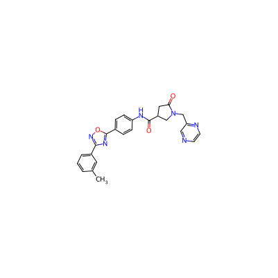 Cc1cccc(-c2noc(-c3ccc(NC(=O)C4CC(=O)N(Cc5cnccn5)C4)cc3)n2)c1